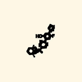 CN(c1cnc(-c2cc(F)c(-n3ccnc3)cc2O)nn1)[C@H]1C[C@]2(C)CCC[C@](C)(C1)N2